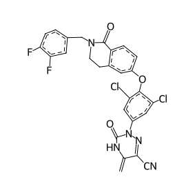 C=C1NC(=O)N(c2cc(Cl)c(Oc3ccc4c(c3)CCN(Cc3ccc(F)c(F)c3)C4=O)c(Cl)c2)N=C1C#N